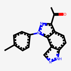 CC(=O)c1nn(-c2ccc(C)cc2)c2c1ccc1[nH]ncc12